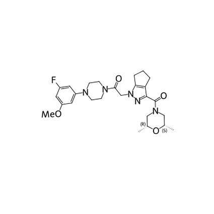 COc1cc(F)cc(N2CCN(C(=O)Cn3nc(C(=O)N4C[C@@H](C)O[C@@H](C)C4)c4c3CCC4)CC2)c1